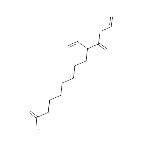 C=COC(=O)C(C=C)CCCCCCCC(=O)O